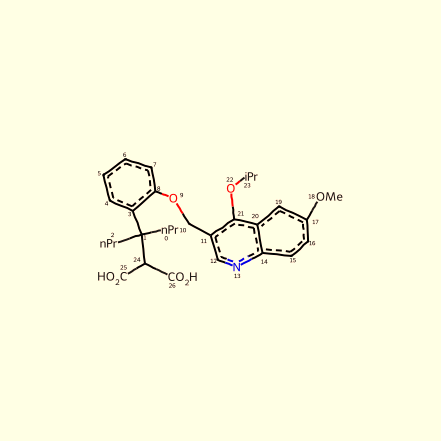 CCCC(CCC)(c1ccccc1OCc1cnc2ccc(OC)cc2c1OC(C)C)C(C(=O)O)C(=O)O